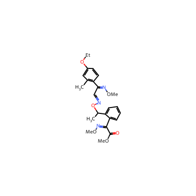 CCOc1ccc(C(C=NOC(C)c2ccccc2C(=NOC)C(=O)OC)=NOC)c(C)c1